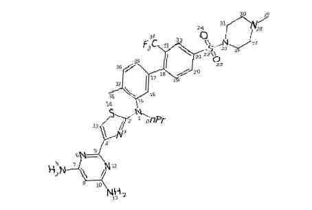 CCCN(c1nc(-c2nc(N)cc(N)n2)cs1)c1cc(-c2ccc(S(=O)(=O)N3CCN(C)CC3)cc2C(F)(F)F)ccc1C